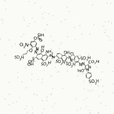 Nc1c(N=Nc2ccc3c(O)c(N=Nc4cc(/N=N/c5c(C(=O)O)nn(-c6ccc(S(=O)(=O)O)cc6)c5O)c(S(=O)(=O)O)cc4Cl)c(S(=O)(=O)O)cc3c2S(=O)(=O)O)cc(S(=O)(=O)O)c2cc(SOOO)c(N=Nc3cc(OS(=O)O)cc([N+](=O)[O-])c3OCCCS(=O)(=O)O)c(O)c12